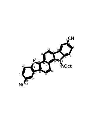 CCCCCCCCn1c2ccc(C#N)cc2c2ccc3c(ccc4c5cc(C#N)ccc5sc43)c21